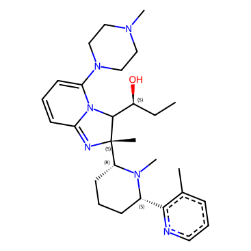 CC[C@H](O)C1N2C(N3CCN(C)CC3)=CC=CC2=N[C@@]1(C)[C@H]1CCC[C@@H](c2ncccc2C)N1C